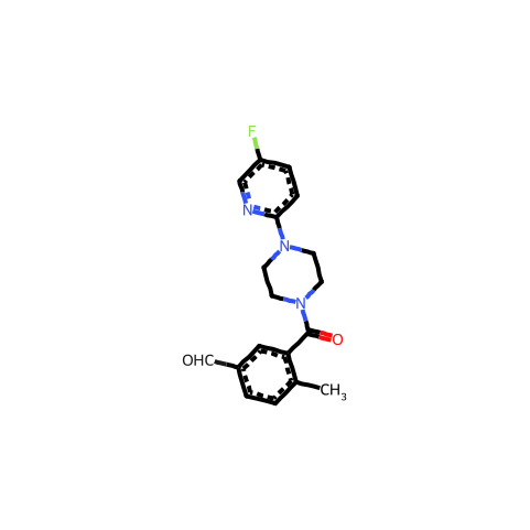 Cc1ccc(C=O)cc1C(=O)N1CCN(c2ccc(F)cn2)CC1